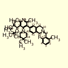 Cc1cccc(F)c1CN1CCc2cc(-c3c(C)nc(C)c(C(OC(C)(C)C)C(=O)O)c3N3CCC(C)(C)CC3)ccc2C1